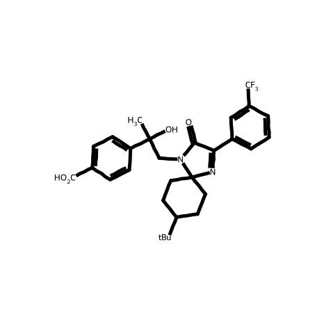 CC(O)(CN1C(=O)C(c2cccc(C(F)(F)F)c2)=NC12CCC(C(C)(C)C)CC2)c1ccc(C(=O)O)cc1